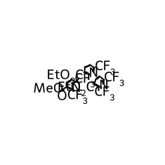 CCOC(=O)c1ccc(C(F)(F)F)nc1C.CCOC(=O)c1ccc(C(F)(F)F)nc1C(F)(F)F.COC(=O)c1ccc(C(F)(F)F)nc1C(F)(F)F